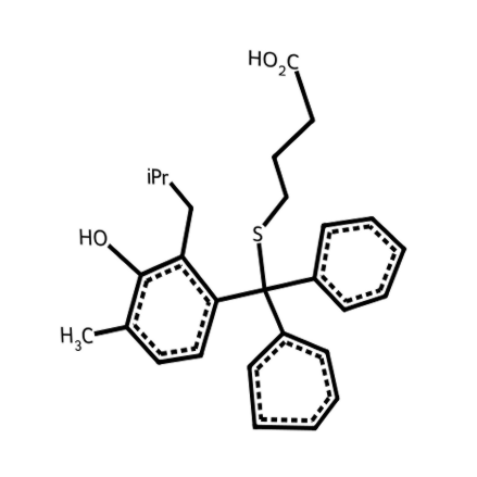 Cc1ccc(C(SCCCC(=O)O)(c2ccccc2)c2ccccc2)c(CC(C)C)c1O